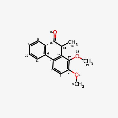 COc1ccc(-c2ccccc2)c(C(C)C=O)c1OC